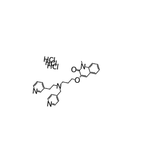 Cl.Cl.Cl.Cn1c(=O)c(OCCCN(CCc2cccnc2)Cc2ccncc2)cc2ccccc21